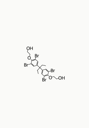 CCC(CC)(c1cc(Br)c(OCCO)c(Br)c1)c1cc(Br)c(OCCO)c(Br)c1